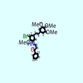 COc1cc(/C=C/c2cc(Br)c(OC)c(N/C=C\C(=O)c3ccccc3)c2)cc(OC)c1OC